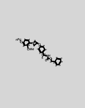 CCCOc1ccc(N2CC(Oc3ccc([C@H](C)NC(=O)OCc4ccccc4)cc3)C2)c(OC)c1